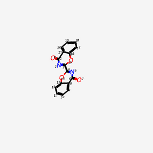 O=c1nc(-c2nc(=O)c3ccccc3o2)oc2ccccc12